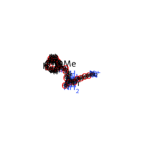 C=C1C[C@@H]2CC[C@@]34CC5O[C@@H]6C(C[C@H]7CCC(CC(=O)C[C@@H]8[C@@H](OC)[C@@H](C[C@H](O)CNC(=O)OCc9ccc(NC(=O)[C@H](CCCNC(N)=O)NC(=O)[C@@H](NC(=O)CCOCCOCCOCCOCCN=[N+]=[N-])C(C)C)cc9)O[C@H]8CC8O[C@@H](CCC1O2)C[C@@H](C)C8=C)O[C@@H]7[C@@H]6O3)[C@@H]5O4